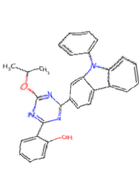 CC(C)Oc1nc(-c2ccc3c4ccccc4n(-c4ccccc4)c3c2)nc(-c2ccccc2O)n1